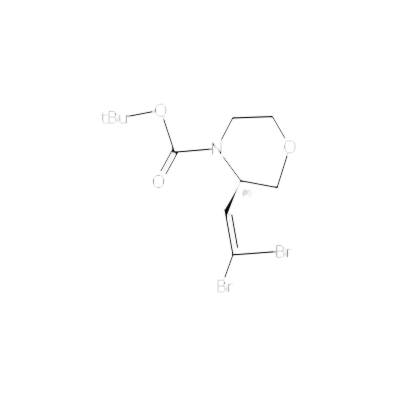 CC(C)(C)OC(=O)N1CCOC[C@H]1C=C(Br)Br